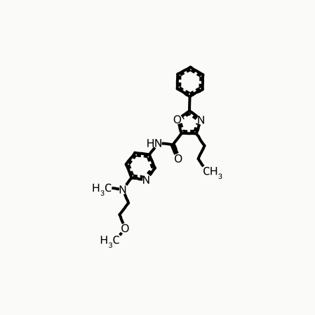 CCCc1nc(-c2ccccc2)oc1C(=O)Nc1ccc(N(C)CCOC)nc1